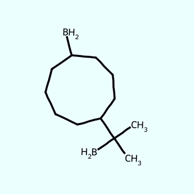 BC1CCCCC(C(B)(C)C)CCC1